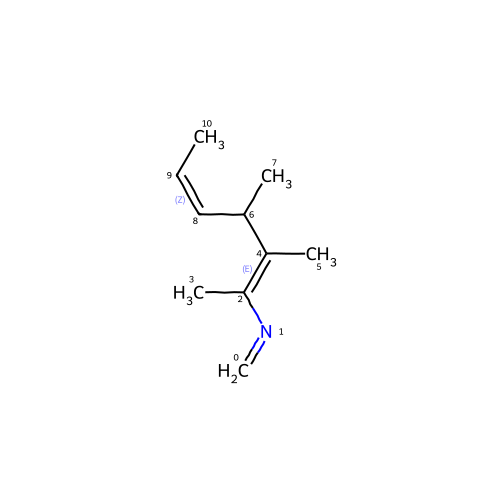 C=N/C(C)=C(\C)C(C)/C=C\C